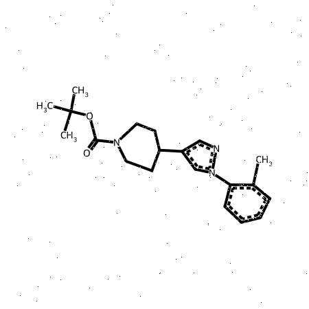 Cc1ccccc1-n1cc(C2CCN(C(=O)OC(C)(C)C)CC2)cn1